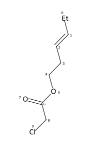 CCC=CCCOC(=O)CCl